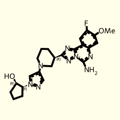 COc1cc2nc(N)n3nc([C@@H]4CCCN(c5cnn([C@@H]6CCC[C@H]6O)c5)C4)nc3c2cc1F